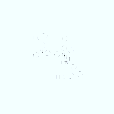 CC1C=Cc2c(c3cc(C(=N)/N=C(\Nn4c5ccc(-c6ccccc6)cc5c5cc(-c6ccc7c(c6)c6c(n7-c7ccccc7)CCC(C7C=CC=CC7C)=C6)ccc54)c4ccccc4)ccc3c3ccccc23)C1